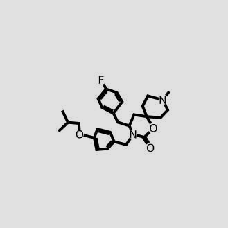 CC(C)COc1ccc(CN2C(=O)OC3(CCN(C)CC3)CC2Cc2ccc(F)cc2)cc1